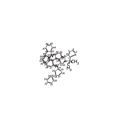 CC1(C)c2ccccc2-c2ccc(N(c3cccc(-c4ccccc4)c3)c3ccc4ccccc4c3-c3ccccc3-n3c4ccccc4c4ccccc43)cc21